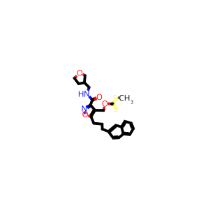 CSC(=S)OCc1c(C(=O)NCC2CCOC2)noc1CCCc1ccc2ccccc2c1